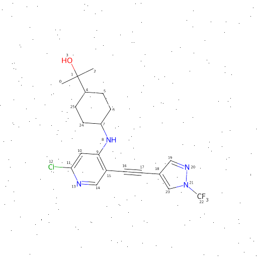 CC(C)(O)C1CCC(Nc2cc(Cl)ncc2C#Cc2cnn(C(F)(F)F)c2)CC1